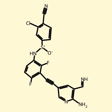 N#Cc1ccc([S+]([O-])Nc2ccc(F)c(C#Cc3cnc(N)c(C=N)c3)c2F)cc1Cl